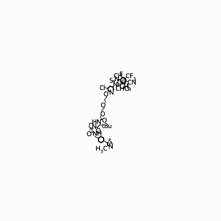 Cc1ncsc1-c1ccc(CNC(=O)[C@@H]2CCCN2C(=O)C(NC(=O)COCCOCCCOc2ncc(N(C(=S)N(C)c3ccc(C#N)c(C(F)(F)F)c3F)C(C)(C)C=O)cc2Cl)C(C)(C)C)cc1